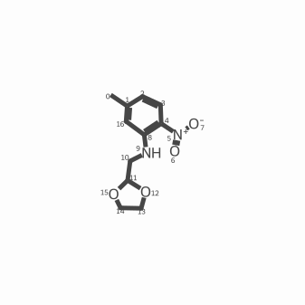 Cc1ccc([N+](=O)[O-])c(NCC2OCCO2)c1